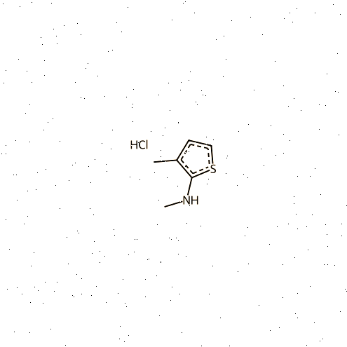 CNc1sccc1C.Cl